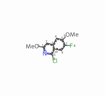 COc1cc2cc(OC)c(F)cc2c(Cl)n1